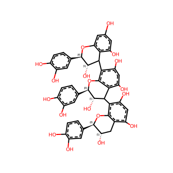 Oc1cc(O)c2c(c1)O[C@H](c1ccc(O)c(O)c1)[C@@H](O)C2c1c(O)cc(O)c2c1O[C@H](c1ccc(O)c(O)c1)[C@@H](O)C2c1c(O)cc(O)c2c1O[C@H](c1ccc(O)c(O)c1)[C@@H](O)C2